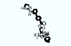 N[C@H](CC(=O)OC(=O)c1ccc(-c2cccc(NC3=NCCCN3)c2)cc1)NS(=O)(=O)c1ccccc1